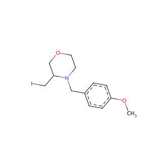 COc1ccc(CN2CCOCC2CI)cc1